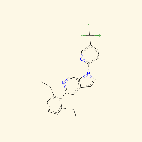 CCc1cccc(CC)c1-c1cc2ccn(-c3ccc(C(F)(F)F)cn3)c2cn1